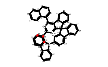 c1ccc(-c2nc(-c3cccc4ccccc34)c3c(n2)C2(c4ccccc4-c4ccc(-n5c6ccccc6c6ccccc65)cc42)c2ccccc2-3)cc1